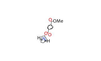 COC(=O)c1ccc(C(=O)OC2C[C@H]3CC[C@@H](C2)N3C)cc1